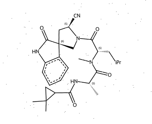 CC(C)C[C@@H](C(=O)N1C[C@]2(C[C@H]1C#N)C(=O)Nc1ccccc12)N(C)C(=O)[C@H](C)NC(=O)C1CC1(C)C